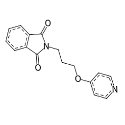 O=C1c2ccccc2C(=O)N1CCCOc1ccncc1